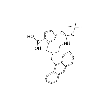 CC(C)(C)OC(=O)NCCN(Cc1ccccc1B(O)O)Cc1c2ccccc2cc2ccccc12